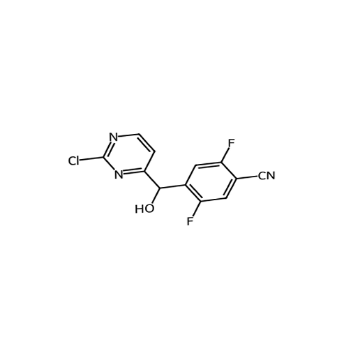 N#Cc1cc(F)c(C(O)c2ccnc(Cl)n2)cc1F